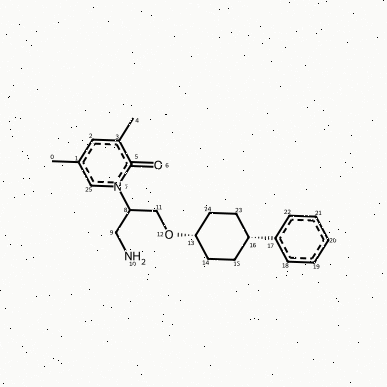 Cc1cc(C)c(=O)n(C(CN)CO[C@H]2CC[C@@H](c3ccccc3)CC2)c1